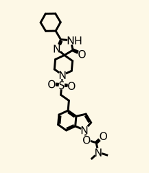 CN(C)C(=O)On1ccc2c(CCS(=O)(=O)N3CCC4(CC3)N=C(C3CCCCC3)NC4=O)cccc21